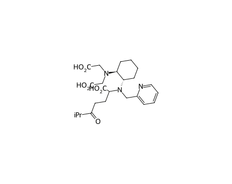 CC(C)C(=O)CCC(C(=O)O)N(Cc1ccccn1)[C@H]1CCCC[C@@H]1N(CC(=O)O)CC(=O)O